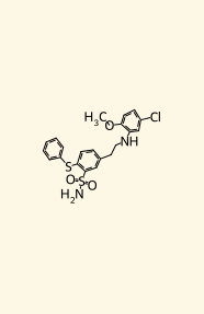 COc1ccc(Cl)cc1NCCc1ccc(Sc2ccccc2)c(S(N)(=O)=O)c1